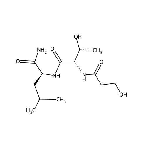 CC(C)C[C@H](NC(=O)[C@@H](NC(=O)CCO)[C@@H](C)O)C(N)=O